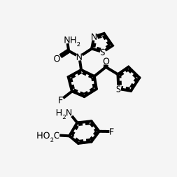 NC(=O)N(c1nccs1)c1cc(F)ccc1C(=O)c1cccs1.Nc1cc(F)ccc1C(=O)O